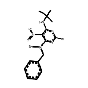 CC(C)(C)Nc1nc(Cl)nc(N(Br)Cc2ccccc2)c1[N+](=O)[O-]